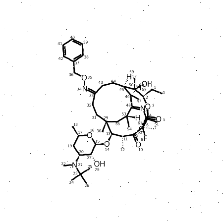 CC[C@H]1OC(=O)[C@@](C)(F)C(=O)[C@H](C)[C@@H](O[C@@H]2O[C@H](C)C[C@H](N(C)C(C)(C)C)[C@H]2O)[C@]2(C)CC/C(=N/OCc3ccccc3)CC[C@H]([C@@H](C)/C(=N/C(C)=O)[C@H](C)C2)[C@]1(C)O